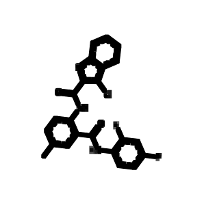 Cc1ccc(NC(=O)c2sc3ccccc3c2Cl)c(C(=O)Nc2ccc(F)cc2F)c1